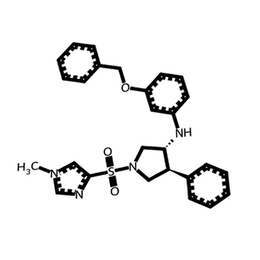 Cn1cnc(S(=O)(=O)N2C[C@H](Nc3cccc(OCc4ccccc4)c3)[C@@H](c3ccccc3)C2)c1